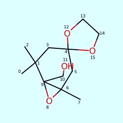 CC1(C)CC2(CC3(C)OC13CO)OCCO2